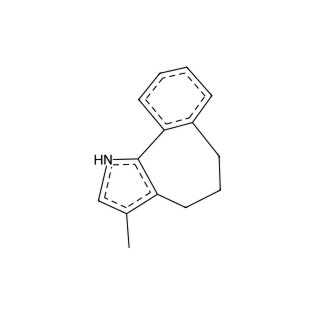 Cc1c[nH]c2c1CCCc1ccccc1-2